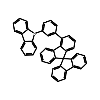 c1cc(-c2cccc3c2-c2ccccc2C32c3ccccc3-c3ccccc32)cc(-n2c3ccccc3c3ccccc32)c1